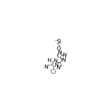 C[Si](C)(C)CCOCn1ccc2c(-c3cnn(C(CC#N)C4CCCC4)c3N)ncnc21